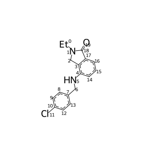 CCN1Cc2c(NCc3ccc(Cl)cc3)cccc2C1=O